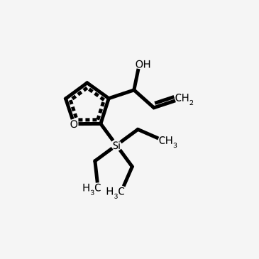 C=CC(O)c1ccoc1[Si](CC)(CC)CC